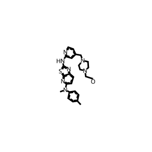 Cc1ccc(N(C)c2ccc3nc(Nc4cc(CN5CCN(CC=O)CC5)ccn4)sc3n2)cc1